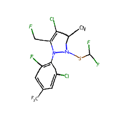 N#CC1C(Cl)=C(CF)N(c2c(F)cc(C(F)(F)F)cc2Cl)N1SC(F)F